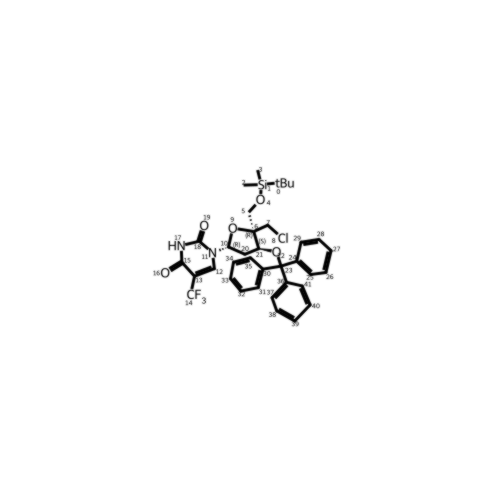 CC(C)(C)[Si](C)(C)OC[C@@]1(CCl)O[C@@H](n2cc(C(F)(F)F)c(=O)[nH]c2=O)C[C@@H]1OC(c1ccccc1)(c1ccccc1)c1ccccc1